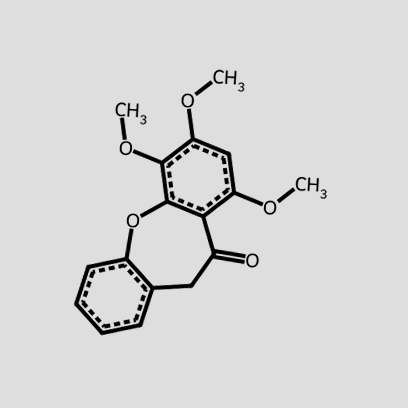 COc1cc(OC)c2c(c1OC)Oc1ccccc1CC2=O